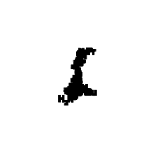 CC(C)c1noc(N2CCC([C@H](C)CCOc3ccc([C@@H](C)[C@H](NC(=O)OC(C)(C)C)C(=O)N4CCC[C@H]4C(N)=O)c(F)c3)CC2)n1